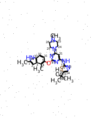 Cc1cc2c(C)c(Oc3nc(Nc4ncc(C(C)(C)C)s4)cc(N4CCN(C)CC4)n3)ccc2[nH]1